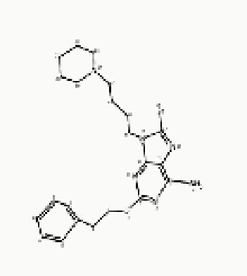 Nc1nc(OCCc2ccccc2)nc2c1nc(Br)n2CCCCN1CCCCC1